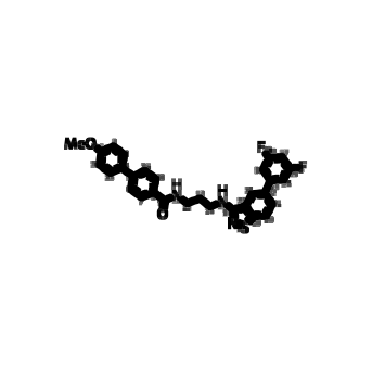 COc1ccc(-c2ccc(C(=O)NCCCNc3nsc4ccc(-c5cc(F)cc(F)c5)cc34)cc2)cc1